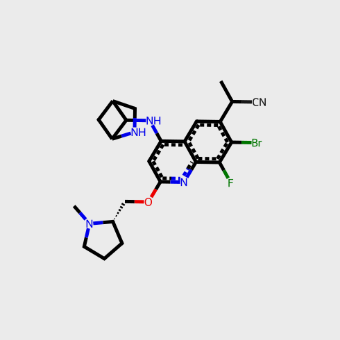 CC(C#N)c1cc2c(NC3C4CNC3C4)cc(OC[C@@H]3CCCN3C)nc2c(F)c1Br